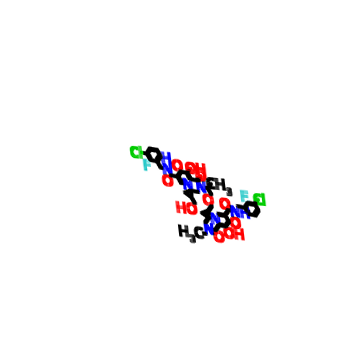 CCN1CC2(CC2COCC(C)N2CC3(CC3CO)n3cc(C(=O)NCc4cccc(Cl)c4F)c(=O)c(O)c3C2=O)n2cc(C(=O)NCc3cccc(Cl)c3F)c(=O)c(O)c2C1=O